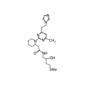 CSCCC(O)CNC(=O)CC1CCCCN1c1nc(C)cc(CCn2ccnc2)n1